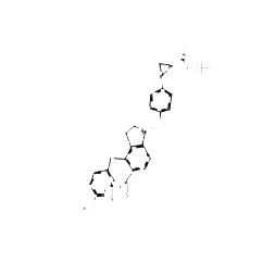 COc1ccc(Cc2c(C#N)ccc3c2CC[C@H]3Oc2ccc([C@H]3C[C@@H]3C(=O)O)cc2)cn1